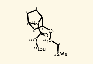 CSCSOC1CC2CCC1N2C(=O)OC(C)(C)C